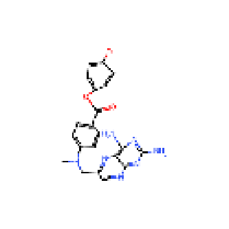 CN(Cc1cnc2nc(N)nc(N)c2n1)c1ccc(C(=O)Oc2ccc(O)cc2)cc1